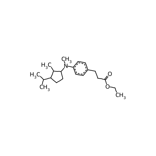 CCOC(=O)CCc1ccc(N(C)C2CCC(C(C)C)C2C)cc1